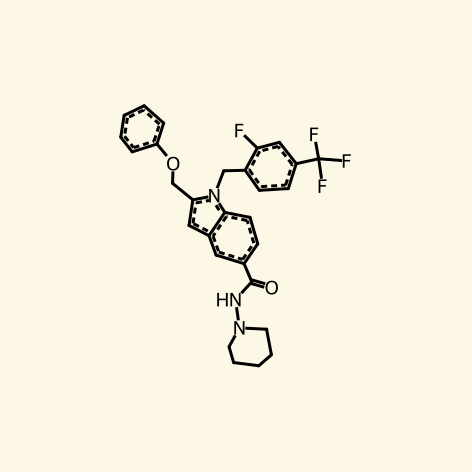 O=C(NN1CCCCC1)c1ccc2c(c1)cc(COc1ccccc1)n2Cc1ccc(C(F)(F)F)cc1F